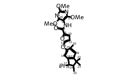 COc1nc(OC)c(NC(=O)c2ccc(Oc3cc4c(cc3C)C(C)(C)C(C)C4C(C)C)o2)c(OC)n1